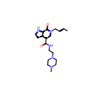 C/C=C/Cn1cc(C(=O)NCCN2CCN(C)CC2)c2cc[nH]c2c1=O